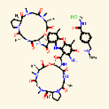 CNNCc1ccc(C(=O)NC(C)C)cc1.Cc1c2oc3c(C)ccc(C(=O)N[C@@H]4C(=O)N[C@H](C(C)C)C(=O)N5CCC[C@H]5C(=O)N(C)CC(=O)N(C)[C@@H](C(C)C)C(=O)O[C@@H]4C)c3nc-2c(C(=O)N[C@@H]2C(=O)N[C@H](C(C)C)C(=O)N3CCC[C@H]3C(=O)N(C)CC(=O)N(C)[C@@H](C(C)C)C(=O)O[C@@H]2C)c(N)c1=O.Cl